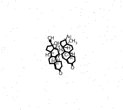 C#C[C@]1(O)CC[C@H]2[C@@H]3CCC4=CC(=O)CC[C@@H]4[C@H]3CC[C@@]21CC.CC(=O)[C@H]1CC[C@H]2[C@@H]3CCC4=CC(=O)CC[C@]4(C)[C@H]3CC[C@]12C